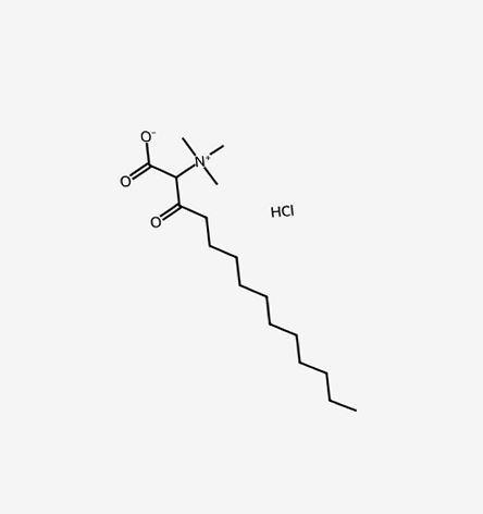 CCCCCCCCCCCC(=O)C(C(=O)[O-])[N+](C)(C)C.Cl